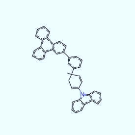 CC1(c2cccc(-c3ccc4c5ccccc5c5ccccc5c4c3)c2)C=CC(n2c3ccccc3c3ccccc32)=CC1